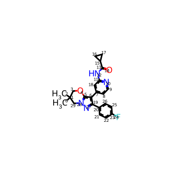 CC1(C)COc2c(-c3ccnc(NC(=O)C4CC4)c3)c(-c3ccc(F)cc3)nn2C1